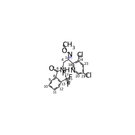 CO/N=C(\CNC(=O)c1ccccc1C(F)(F)F)c1ncc(Cl)cc1Cl